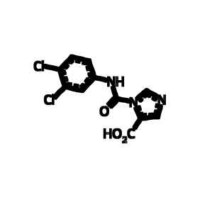 O=C(O)c1cncn1C(=O)Nc1ccc(Cl)c(Cl)c1